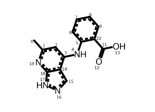 Cc1cc(Nc2ccccc2C(=O)O)c2cn[nH]c2n1